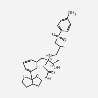 CC(CN[C@@](Cc1cccc(C23OCCC2CCO3)c1)(NC(=O)O)[C@@H](C)O)CS(=O)(=O)c1ccc(N)cc1